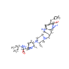 CCc1cc2ncc(CN3CCN(c4ccc(C(=O)NC(C)C)nc4)CC3)cc2[nH]c1=O